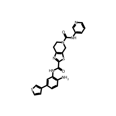 Nc1ccc(-c2ccsc2)cc1NC(=O)c1nc2c(s1)CN(C(=O)Nc1cccnc1)CC2